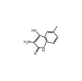 Cc1ccc2[nH]c(=O)c(N)c(O)c2c1